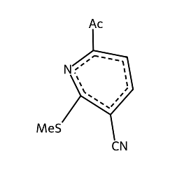 CSc1nc(C(C)=O)ccc1C#N